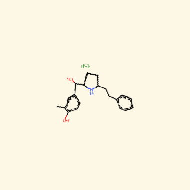 Cc1cc(C(O)C2CCC(CCc3ccccc3)N2)ccc1O.Cl